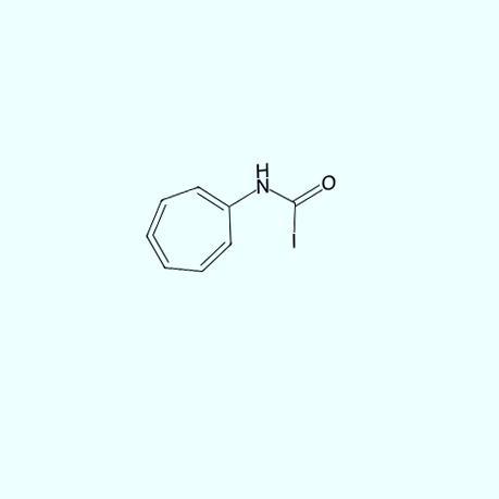 O=C(I)NC1=CC=C=CC=C1